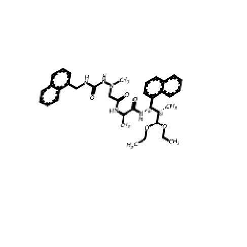 CCOC(OCC)[C@@H](C)[C@H](NC(=O)C(C)NC(=O)CN(C)NC(=O)NCc1cccc2ccccc12)c1cccc2ccccc12